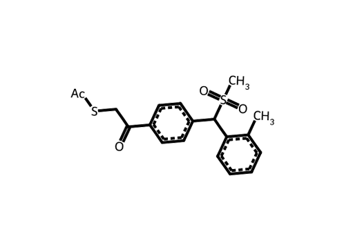 CC(=O)SCC(=O)c1ccc(C(c2ccccc2C)S(C)(=O)=O)cc1